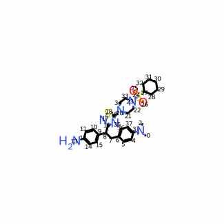 CN(C)c1ccc(CC(c2ccc(N)cc2)c2nsc(N3CCN(S(=O)(=O)C4CCCCC4)CC3)n2)cc1